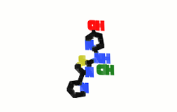 Cl.Oc1ccc(Nc2nc(-c3ccccn3)cs2)nc1